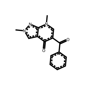 Cn1cc2c(=O)c(C(=O)c3ccccc3)cn(C)c2n1